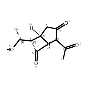 CC(=O)C1C(=O)C[C@@H]2[C@@H]([C@@H](C)O)C(=O)N12